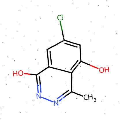 Cc1nnc(O)c2cc(Cl)cc(O)c12